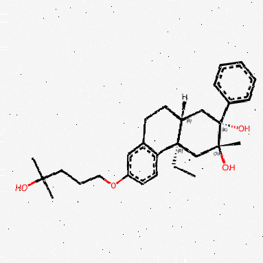 CC[C@@]12C[C@@](C)(O)[C@](O)(c3ccccc3)C[C@H]1CCc1cc(OCCCC(C)(C)O)ccc12